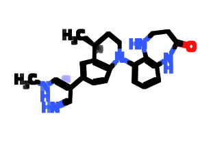 CN/C=C(\C=N)c1ccc2c(c1)[C@@H](C)CCN2c1cccc2c1NCCC(=O)N2